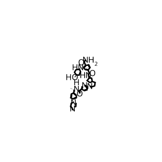 C[C@H](NC(=O)c1ccc(N2CCCC3CC(NC(=O)c4ccc(C(N)=O)c(N[C@H]5CC[C@H](O)CC5)c4)CC32)nc1)c1ccc(N2CCN(C)CC2)cc1